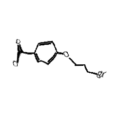 O=C(Cl)c1ccc(OCCCBr)cc1